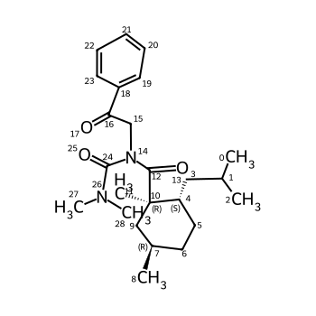 CC(C)C[C@@H]1CC[C@@H](C)C[C@@]1(C)C(=O)N(CC(=O)c1ccccc1)C(=O)N(C)C